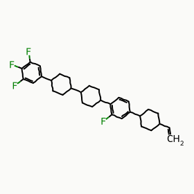 C=CC1CCC(c2ccc(C3CCC(C4CCC(c5cc(F)c(F)c(F)c5)CC4)CC3)c(F)c2)CC1